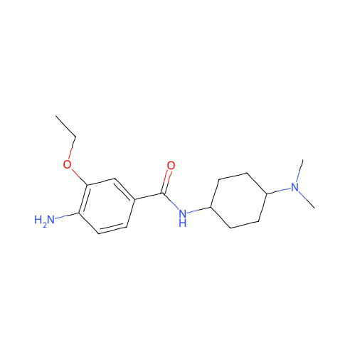 CCOc1cc(C(=O)NC2CCC(N(C)C)CC2)ccc1N